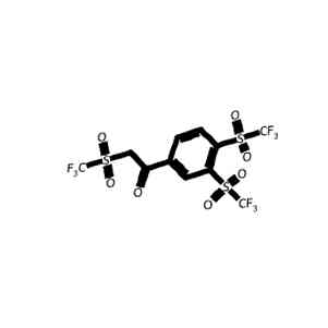 O=C(CS(=O)(=O)C(F)(F)F)c1ccc(S(=O)(=O)C(F)(F)F)c(S(=O)(=O)C(F)(F)F)c1